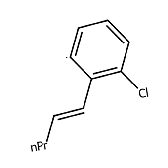 CCCC=Cc1[c]cccc1Cl